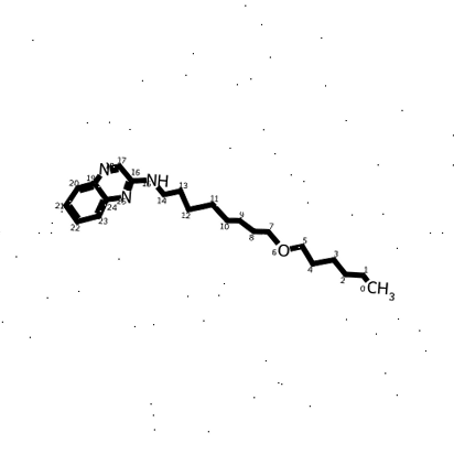 CCCCCCOCCCCCCCCNc1cnc2ccccc2n1